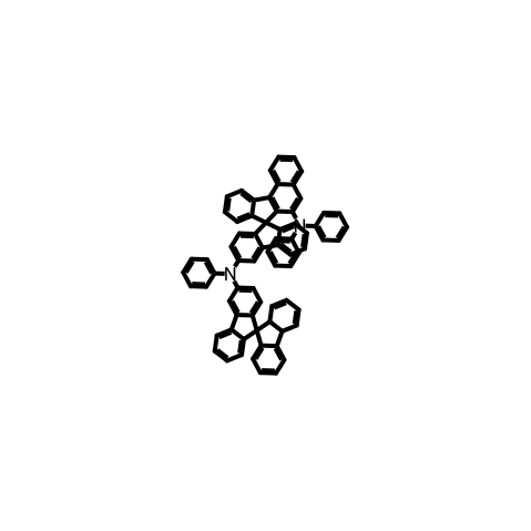 C1=CC2c3ccccc3C3(c4ccccc4-c4cc(N(c5ccccc5)c5ccc6c(c5)-c5ccccc5C65c6ccccc6-c6c5c(N(c5ccccc5)c5ccccc5)cc5ccccc65)ccc43)C2C=C1